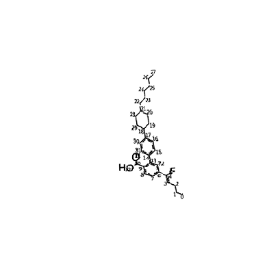 CCCC=C(F)c1ccc(C(=O)O)c(-c2ccc(C3CCC(CCCCCC)CC3)cc2)c1